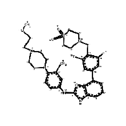 COCCN1CCN(c2ccc(Nc3nc4cccc(-c5cc(F)c(CN6CCS(=O)(=O)CC6)c(F)c5)c4o3)cc2C)CC1